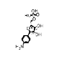 Nc1ccc(C2O[C@H](COP(=O)(O)O)[C@@H](O)[C@H]2O)cc1